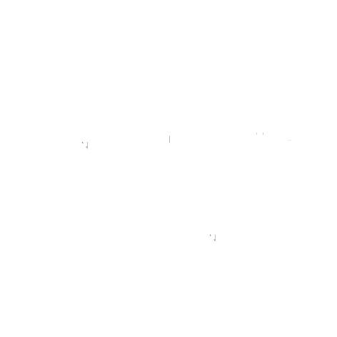 CCOc1ccc2nccc(C(I)C(=O)c3cccc(C)n3)c2c1